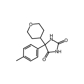 Cc1ccc(C2(C3CCOCC3)NC(=O)NC2=O)cc1